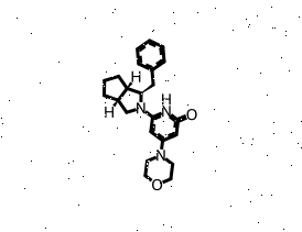 O=c1cc(N2CCOCC2)cc(N2C[C@@H]3CCC[C@@H]3[C@H]2Cc2ccccc2)[nH]1